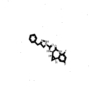 O=C1Nc2c(F)cc(F)cc2[C@H]2C[C@H]2[C@H]1NC(=O)N1CC(Cc2ccccc2)=NN1